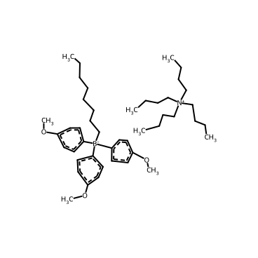 CCCCCCCC[B-](c1ccc(OC)cc1)(c1ccc(OC)cc1)c1ccc(OC)cc1.CCCC[N+](CCCC)(CCCC)CCCC